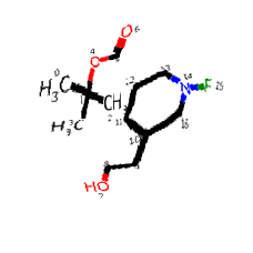 CC(C)(C)OC=O.OCCC1CCCN(F)C1